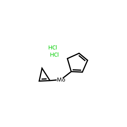 C1=CC[C]([Mo][C]2=CC2)=C1.Cl.Cl